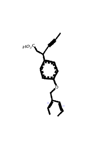 CC#CC(CC(=O)O)c1ccc(OCC(/C=C\C)=C/C)cc1